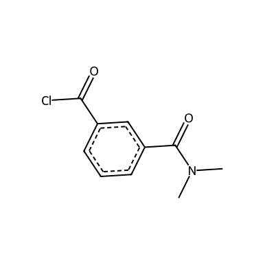 CN(C)C(=O)c1cccc(C(=O)Cl)c1